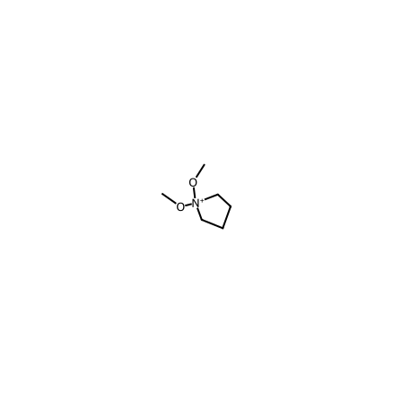 CO[N+]1(OC)CCCC1